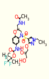 CCn1cc(S(=O)(=O)N2C[C@H](CNC(C)=O)Oc3ccc(NC(=O)OC(C)(C)C(F)(F)F)cc32)c(OC[C@@H](O)CO)n1